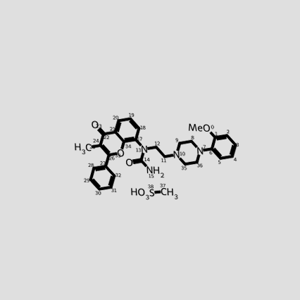 COc1ccccc1N1CCN(CCN(C(N)=O)c2cccc3c(=O)c(C)c(-c4ccccc4)oc23)CC1.CS(=O)(=O)O